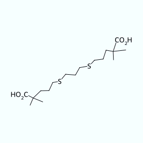 CC(C)(CCCSCCCSCCCC(C)(C)C(=O)O)C(=O)O